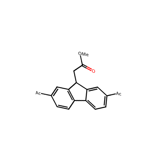 COC(=O)CC1c2cc(C(C)=O)ccc2-c2ccc(C(C)=O)cc21